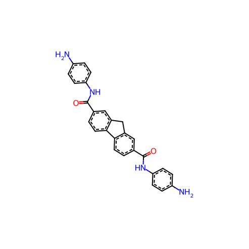 Nc1ccc(NC(=O)c2ccc3c(c2)Cc2cc(C(=O)Nc4ccc(N)cc4)ccc2-3)cc1